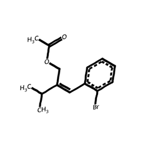 CC(=O)OCC(=Cc1ccccc1Br)C(C)C